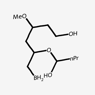 BCC(CC(CCO)OC)OC(O)CCC